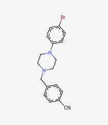 N#Cc1ccc(CN2CCN(c3ccc(Br)cc3)CC2)cc1